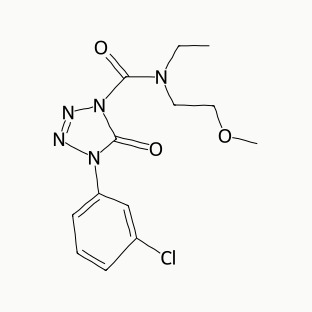 CCN(CCOC)C(=O)n1nnn(-c2cccc(Cl)c2)c1=O